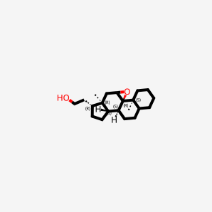 C[C@]12CC3O[C@@]34[C@@H](CCC3CCCC[C@@]34C)[C@@H]1CC[C@@H]2CCO